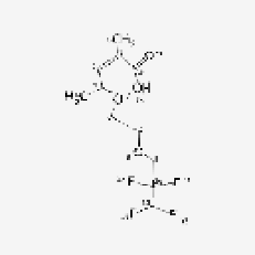 CC(=CC(C)OCCOCC(F)(F)C(F)F)C(=O)O